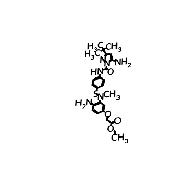 CCOC(=O)COc1ccc(N)c(N(C)Sc2ccc(NC(=O)n3nc(C(C)(C)C)cc3N)cc2)c1